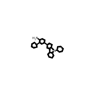 Nc1ccc(-c2ccc3c(c2)c2ccccc2n3-c2ccccc2)cc1-c1ccccc1